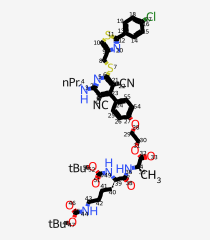 [C-]#[N+]c1c(NCCC)nc(SCc2csc(-c3ccc(Cl)cc3)n2)c(C#N)c1-c1ccc(OCCOC(=O)[C@H](C)NC(=O)[C@H](CCCCNC(=O)OC(C)(C)C)NC(=O)OC(C)(C)C)cc1